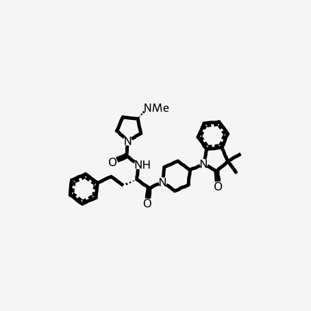 CN[C@H]1CCN(C(=O)N[C@@H](CCc2ccccc2)C(=O)N2CCC(N3C(=O)C(C)(C)c4ccccc43)CC2)C1